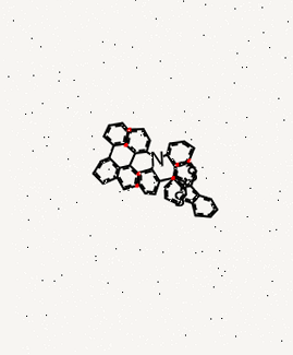 c1ccc(-c2cccc3cccc(-c4ccccc4N(c4ccccc4-c4cccc5c4sc4ccccc45)c4cccc5sc6ccccc6c45)c23)cc1